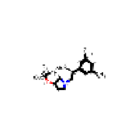 CN[C@H](CN1CCC(O[Si](C)(C)C(C)(C)C)C1)c1cc(C)cc(C)c1